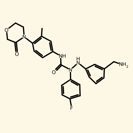 Cc1cc(NC(=O)N(Nc2cccc(CN)c2)c2ccc(F)cc2)ccc1N1CCOCC1=O